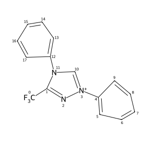 FC(F)(F)c1n[n+](-c2ccccc2)cn1-c1ccccc1